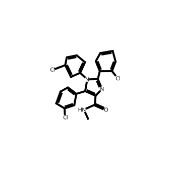 CNC(=O)c1nc(-c2ccccc2Cl)n(-c2cccc(Cl)c2)c1-c1cccc(Cl)c1